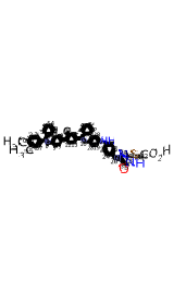 Cc1ccc(/C(=C/c2ccc(-c3ccc(/C(=C/c4ccc(Nc5ccc(/C=C6\N=C(SCC(=O)O)NC6=O)cc5)cc4)c4ccccc4)cc3C)cc2)c2ccccc2)cc1C